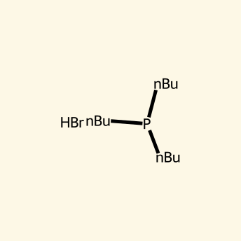 Br.CCCCP(CCCC)CCCC